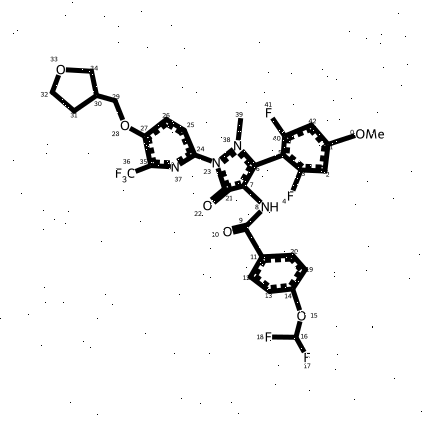 COc1cc(F)c(-c2c(NC(=O)c3ccc(OC(F)F)cc3)c(=O)n(-c3ccc(OCC4CCOC4)c(C(F)(F)F)n3)n2C)c(F)c1